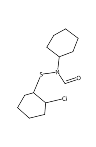 O=CN(SC1CCCCC1Cl)C1CCCCC1